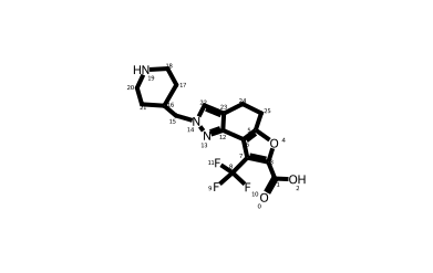 O=C(O)c1oc2c(c1C(F)(F)F)-c1nn(CC3CCNCC3)cc1CC2